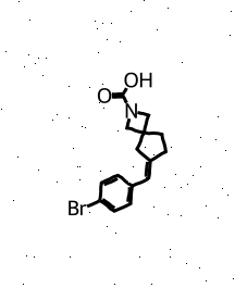 O=C(O)N1CC2(CCC(=Cc3ccc(Br)cc3)C2)C1